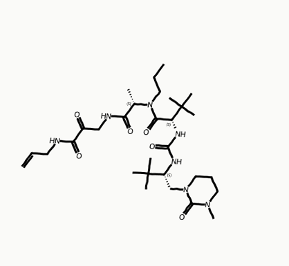 C=CCNC(=O)C(=O)CNC(=O)[C@H](C)N(CCC)C(=O)[C@@H](NC(=O)N[C@H](CN1CCCN(C)C1=O)C(C)(C)C)C(C)(C)C